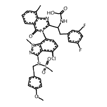 COc1ccc(CN(c2nn(C)c3c(-n4c(C(Cc5cc(F)cc(F)c5)NC(=O)O)nc5c(C)cccc5c4=O)ccc(Cl)c23)S(C)(=O)=O)cc1